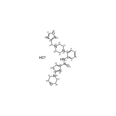 Cl.O=C(Nc1ccccc1N1CCN(Cc2ncon2)CC1)c1csc(N2CCOCC2)n1